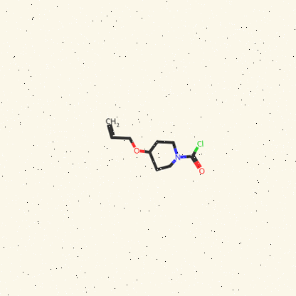 C=CCOC1CCN(C(=O)Cl)CC1